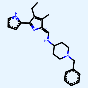 CCC1=C(C)/C(=C/NC2CCN(Cc3ccccc3)CC2)N=C1c1ccc[nH]1